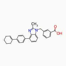 Cc1nc2c(-c3ccc(C4=CCCCC4)cc3)cccc2n1Cc1cccc(C(=O)O)c1